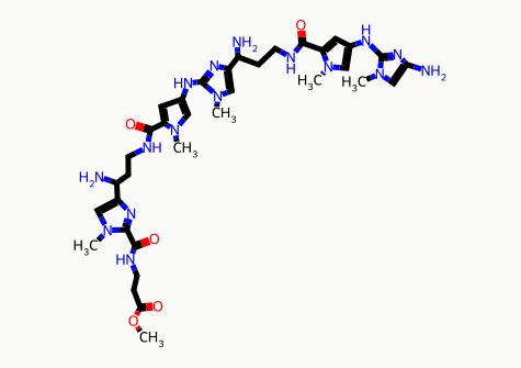 COC(=O)CCNC(=O)c1nc(C(N)CCNC(=O)c2cc(Nc3nc(C(N)CCNC(=O)c4cc(Nc5nc(N)cn5C)cn4C)cn3C)cn2C)cn1C